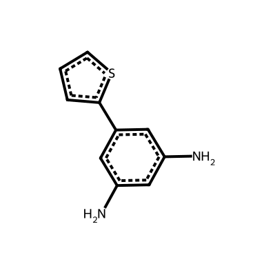 Nc1cc(N)cc(-c2cccs2)c1